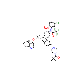 COC(=O)C1(N(C(=O)C(F)(F)F)c2cccc(Cl)c2)CCC2(CC1)c1cc(CN3CCN(C(=O)C(C)(C)C)CC3)ccc1C[C@@H]2C[C@@H](C)COc1ccnc2c1[C@H](C)CCC2